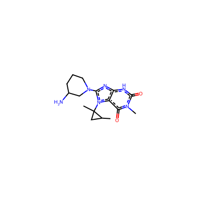 CC1CC1(C)n1c(N2CCCC(N)C2)nc2[nH]c(=O)n(C)c(=O)c21